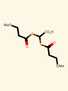 COCCC(=O)SC(SC(=O)CCOC)C(=O)O